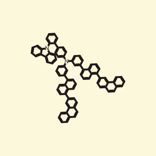 c1cc(-c2cccc3c(-c4ccc5ccc6ccccc6c5c4)cccc23)cc(N(c2ccc(-c3ccccc3-n3c4ccccc4c4ccccc43)cc2)c2cccc(-c3cccc4c(-c5ccc6ccc7ccccc7c6c5)cccc34)c2)c1